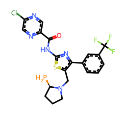 O=C(Nc1nc(-c2cccc(C(F)(F)F)c2)c(CN2CCC[C@H]2P)s1)c1cnc(Cl)cn1